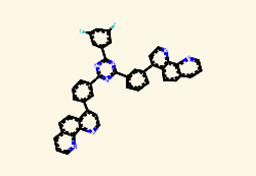 Fc1cc(F)cc(-c2nc(-c3cccc(-c4ccnc5c4ccc4cccnc45)c3)nc(-c3cccc(-c4ccnc5c4ccc4cccnc45)c3)n2)c1